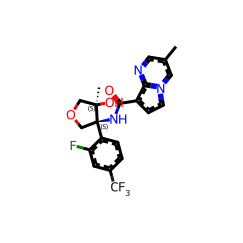 Cc1cnc2c(C(=O)N[C@@]3(c4ccc(C(F)(F)F)cc4F)COC[C@@]3(C)O)ccn2c1